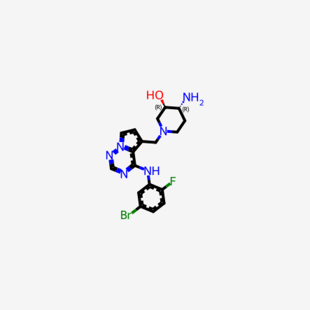 N[C@@H]1CCN(Cc2ccn3ncnc(Nc4cc(Br)ccc4F)c23)C[C@H]1O